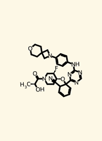 C[C@H](O)C(=O)N1CC[C@H](OC2(c3ncnc(Nc4ccc(N5CC6(CCOCC6)C5)cc4)n3)C=CC=CC2C#N)[C@H](F)C1